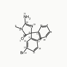 CN1C(=O)C(c2ccccc2)(c2cc(Br)ccc2F)N=C1N